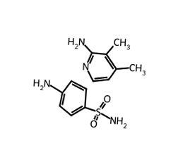 Cc1ccnc(N)c1C.Nc1ccc(S(N)(=O)=O)cc1